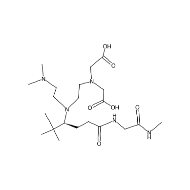 CNC(=O)CNC(=O)CC[C@H](N(CCN(C)C)CCN(CC(=O)O)CC(=O)O)C(C)(C)C